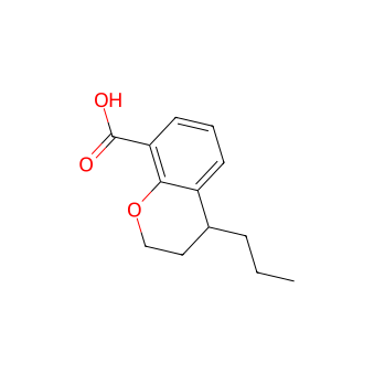 CCCC1CCOc2c(C(=O)O)cccc21